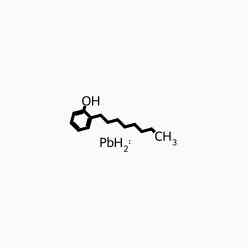 CCCCCCCCc1ccccc1O.[PbH2]